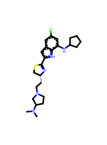 CN(C)C1CCN(CC[C@@H]2CSC(c3cc4cc(Cl)cc(NC5CCCC5)c4[nH]3)=N2)C1